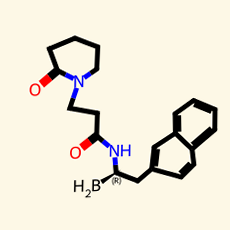 B[C@H](Cc1ccc2ccccc2c1)NC(=O)CCN1CCCCC1=O